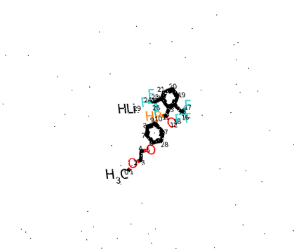 CCOCCOc1ccc(PC(=O)c2c(C(F)(F)F)cccc2C(F)(F)F)cc1.[LiH]